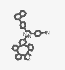 N#Cc1ccc(-c2cc(-c3ccc(-c4cccc5ccccc45)cc3)nc(-c3ccc4c5ccccc5c5ccccc5c5ccccc5c5ccccc5c4c3)n2)cc1